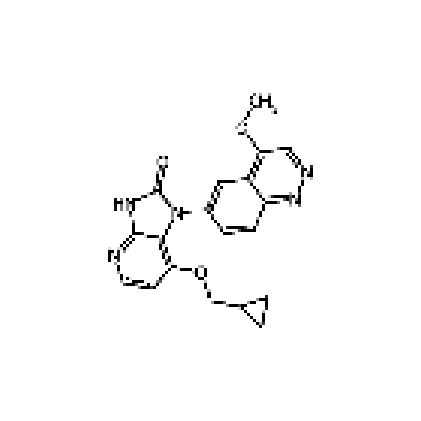 COc1cnnc2ccc(-n3c(=O)[nH]c4nccc(OCC5CC5)c43)cc12